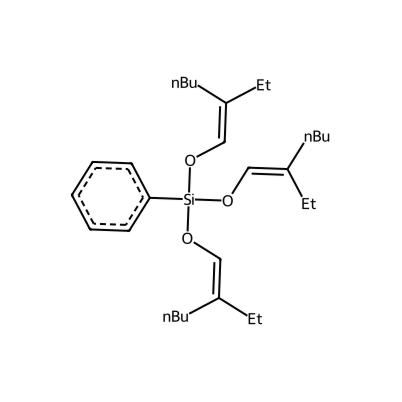 CCCCC(=CO[Si](OC=C(CC)CCCC)(OC=C(CC)CCCC)c1ccccc1)CC